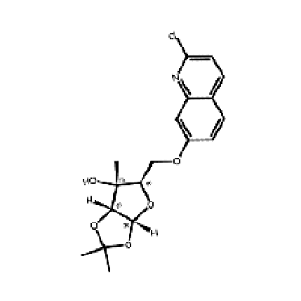 CC1(C)O[C@H]2O[C@H](COc3ccc4ccc(Cl)nc4c3)[C@@](C)(O)[C@H]2O1